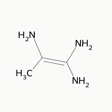 CC(N)=C(N)N